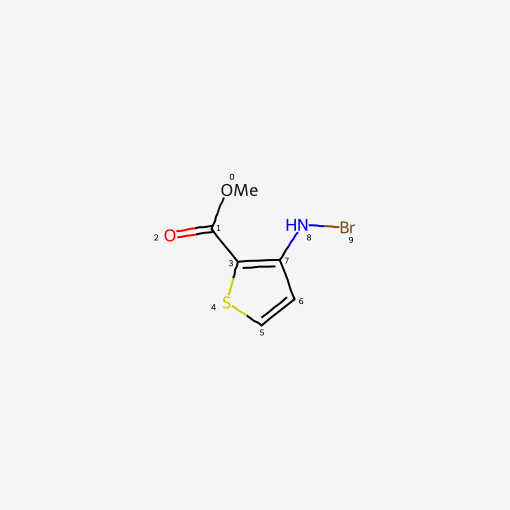 COC(=O)c1sccc1NBr